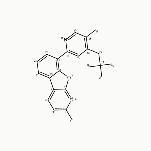 Cc1ccc2c(n1)oc1c(-c3cc(CC(C)(C)C)c(C)cn3)cccc12